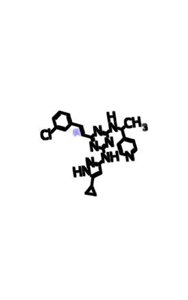 CC(Nc1nc(/C=C/c2cccc(Cl)c2)nc(Nc2cc(C3CC3)[nH]n2)n1)c1ccncc1